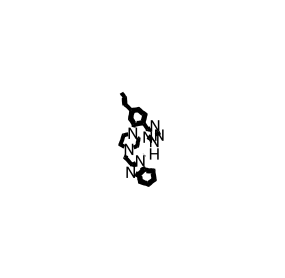 C/C=C/c1ccc(-c2nn[nH]n2)c(N2CCN(Cc3nc4ccccc4n3C)CC2)c1